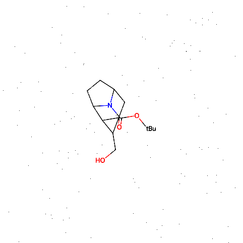 CC(C)(C)OC(=O)N1C2CCC1C1C(CO)C1C2